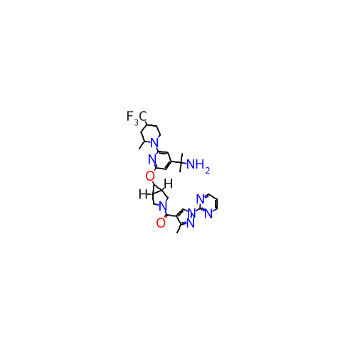 Cc1nn(-c2ncccn2)cc1C(=O)N1C[C@@H]2C(Oc3cc(C(C)(C)N)cc(N4CCC(C(F)(F)F)CC4C)n3)[C@@H]2C1